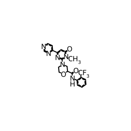 Cn1c(N2CCOC(C(=O)Nc3ccccc3C(F)(F)F)C2)nc(-c2ccncn2)cc1=O